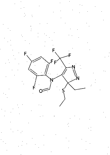 CCSC1(CC)N=NC(C(F)(F)F)=C1N(C=O)c1c(F)cc(F)cc1F